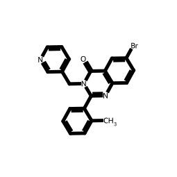 Cc1ccccc1-c1nc2ccc(Br)cc2c(=O)n1Cc1cccnc1